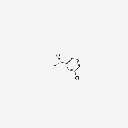 O=C(F)c1cccc(Cl)c1